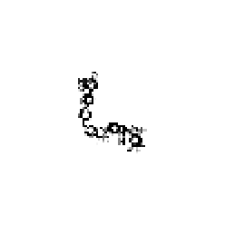 CC[C@H]1Cc2c(-c3cc4ccc(N(C)C(=O)[C@H](C)N5CCN(CC6CCN(c7ccc(C8CCC(=O)NC8=O)cn7)CC6)CC5)cc4[nH]3)n[nH]c2CC1(F)F